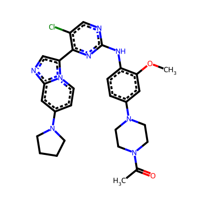 COc1cc(N2CCN(C(C)=O)CC2)ccc1Nc1ncc(Cl)c(-c2cnc3cc(N4CCCC4)ccn23)n1